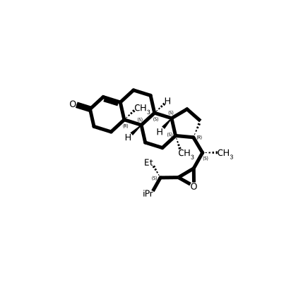 CC[C@@H](C(C)C)C1OC1[C@@H](C)[C@H]1CC[C@H]2[C@@H]3CCC4=CC(=O)CC[C@]4(C)[C@H]3CC[C@]12C